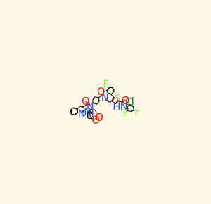 O=C(Nc1c(F)cc(F)cc1Cl)c1cc2c(s1)-c1ccc(F)cc1N(C(=O)c1ccc(NC(=O)c3cc4ccccc4nc3N3CCCS(=O)(=O)CC3)cc1)CC2